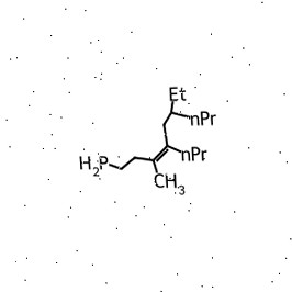 CCC/C(CC(CC)CCC)=C(\C)CCP